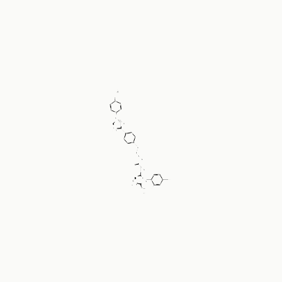 CCn1sc(=NC(=O)NCCc2ccc(-c3ncn(-c4ccc(OC(F)(F)F)cc4)n3)cc2)n(-c2ccc(F)cc2C(C)C)c1=O